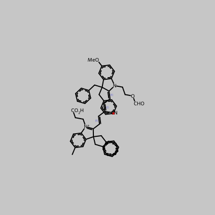 COc1ccc2c(c1)C(Cc1ccccc1)(Cc1ccccc1)\C(=C/C=C(C#N)/C=C/C1=[N+](CCC(=O)O)c3ccc(C)cc3C1(Cc1ccccc1)Cc1ccccc1)N2CCOC=O